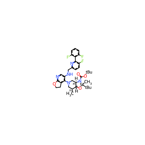 C[C@H]1CN(c2c(NCc3ccc(F)c(-c4c(F)cccc4F)n3)cnc3c2CCO3)C[C@@H]2[C@@H]1O[Si](C)(C(C)(C)C)N2C(=O)OC(C)(C)C